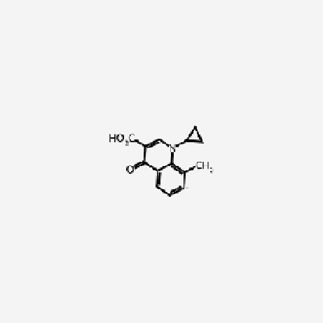 Cc1[c]ccc2c(=O)c(C(=O)O)cn(C3CC3)c12